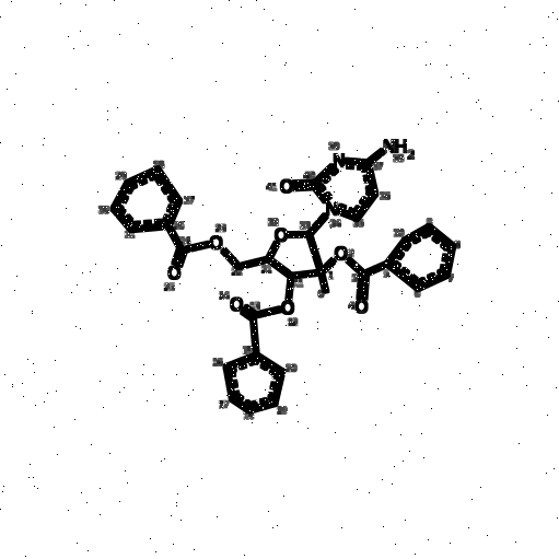 CC1(OC(=O)c2ccccc2)C(OC(=O)c2ccccc2)C(COC(=O)c2ccccc2)OC1n1ccc(N)nc1=O